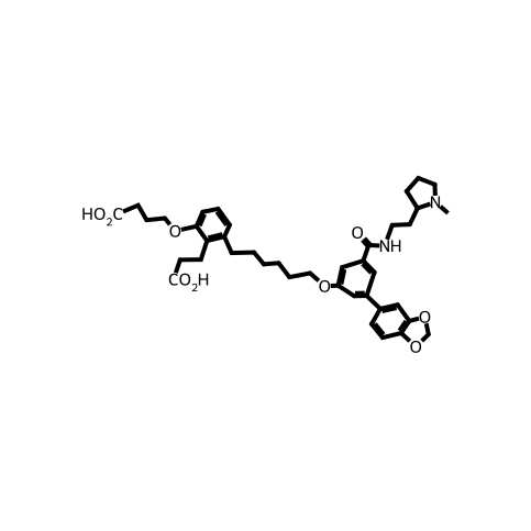 CN1CCCC1CCNC(=O)c1cc(OCCCCCCc2cccc(OCCCC(=O)O)c2CCC(=O)O)cc(-c2ccc3c(c2)OCO3)c1